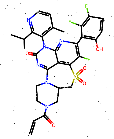 C=CC(=O)N1CCN2c3nc(=O)n(-c4c(C)ccnc4C(C)C)c4nc(-c5c(O)ccc(F)c5F)c(F)c(c34)S(=O)(=O)CC2C1